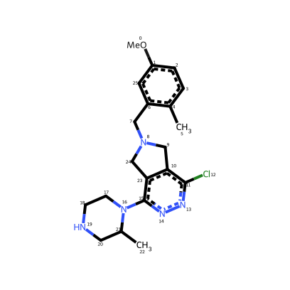 COc1ccc(C)c(CN2Cc3c(Cl)nnc(N4CCNCC4C)c3C2)c1